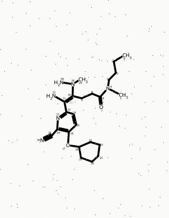 CCCCN(C)C(=O)CC/C(=C(/N)c1ccc(OC2CCCCC2)c(C#N)n1)N(C)N